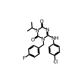 CC(C)n1c(=O)nc(Nc2ccc(Cl)cc2)n(Cc2ccc(F)cc2)c1=O